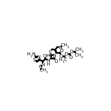 COCC1=C(C(=O)O[C@H](C)OC(=O)OC(C)C)N2C(=O)[C@@H](NC(=O)C(=NOC)c3csc(N)n3)[C@H]2SC1